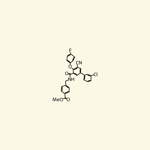 COC(=O)c1ccc(CNC(=O)c2cc(-c3cccc(Cl)c3)cc(C#N)c2Oc2ccc(F)cc2)cc1